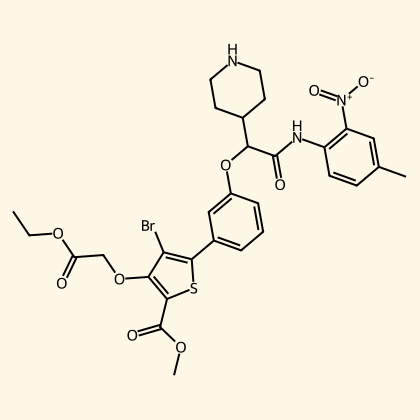 CCOC(=O)COc1c(C(=O)OC)sc(-c2cccc(OC(C(=O)Nc3ccc(C)cc3[N+](=O)[O-])C3CCNCC3)c2)c1Br